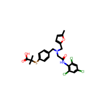 Cc1ccc(CN(CC(=O)Nc2c(Cl)cc(Cl)cc2Cl)Cc2ccc(SC(C)(C)C(=O)O)cc2)o1